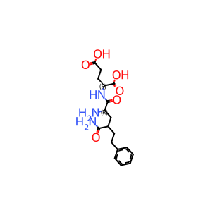 NC(=O)C(CCc1ccccc1)C[C@@H](N)C(=O)N[C@@H](CCC(=O)O)C(=O)O